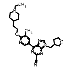 CCN1CCC(CCOc2ncc(-c3nc(C#N)nc4c3ncn4CC3CCOC3)cc2C)CC1